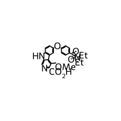 CCN(CC)S(=O)(=O)c1ccc(Oc2ccc3[nH]c4cnc(C(=O)O)c(COC)c4c3c2)cc1